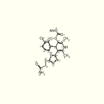 COC(=O)OC1=C(C)NC(C)=C(c2nnc(SCC(N)=O)o2)C1c1cccc(Cl)c1Cl